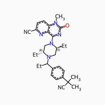 CCC(c1ccc(C(C)(C)C#N)cc1)N1C[C@H](CC)N(c2nc(=O)n(C)c3ccc(C#N)nc23)C[C@H]1CC